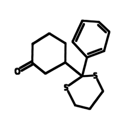 O=C1CCCC(C2(c3ccccc3)SCCCS2)C1